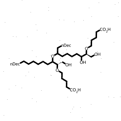 CCCCCCCCCCCCCCCCC(OC(CCCCCCCCCCC)CCCCC(O)[C@H](CO)OCCCCC(=O)O)[C@H](CO)OCCCCC(=O)O